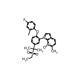 CCS(=O)(=O)C(C)(C)c1ccc(Oc2ccc(F)cc2F)c(-n2ccc3ccc(C)[n+]([O-])c32)c1